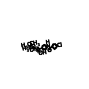 CC(C)(C)OC(=O)N1C[C@@H](O)[C@H](c2ccc(NC(=O)c3ccc(Cl)cc3)cc2)C1